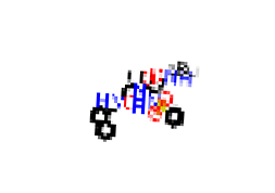 C[C@@H](CC(=O)NCc1cccc2ccccc12)NC(=O)[C@H](CC(=O)NC(C)(C)C)NS(=O)(=O)c1ccccc1